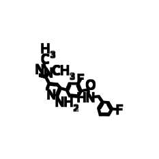 Cc1ncc(-c2cnc(N)c(-c3ccc(C(=O)NCc4cccc(F)c4)c(F)c3)c2)n1C